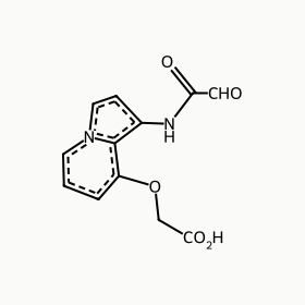 O=CC(=O)Nc1ccn2cccc(OCC(=O)O)c12